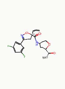 C=C[C@@]1(C(=O)NC2COC(C(=O)OC)C2)CC(c2cc(F)cc(F)c2)=NO1